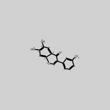 O=c1c(-c2cccc(C(F)(F)F)c2)coc2cc(O)c(O)cc12